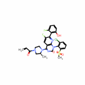 C=CC(=O)N1CCN(c2nc(=O)n(-c3c(Cl)cccc3S(C)(=O)=O)c3nc(-c4c(O)cccc4F)c(F)cc23)[C@@H](C)C1